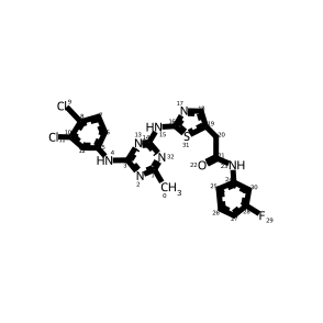 Cc1nc(Nc2ccc(Cl)c(Cl)c2)nc(Nc2ncc(CC(=O)Nc3cccc(F)c3)s2)n1